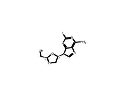 Nc1nc(F)nc2c1ncn2[C@H]1CO[C@@H](CO)O1